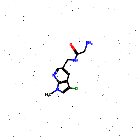 Cn1cc(Cl)c2cc(CNC(=O)CN)cnc21